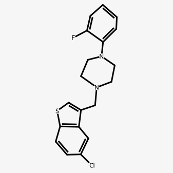 Fc1ccccc1N1CCN(Cc2csc3ccc(Cl)cc23)CC1